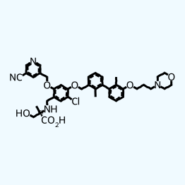 Cc1c(COc2cc(OCc3cncc(C#N)c3)c(CN[C@@](C)(CO)C(=O)O)cc2Cl)cccc1-c1cccc(OCCCN2CCOCC2)c1C